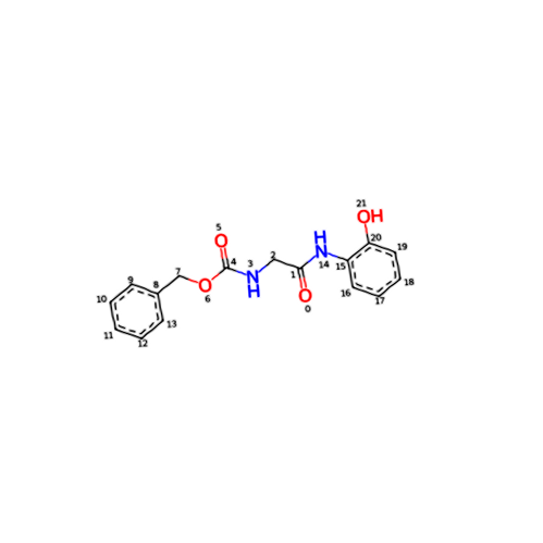 O=C(CNC(=O)OCc1ccccc1)Nc1ccccc1O